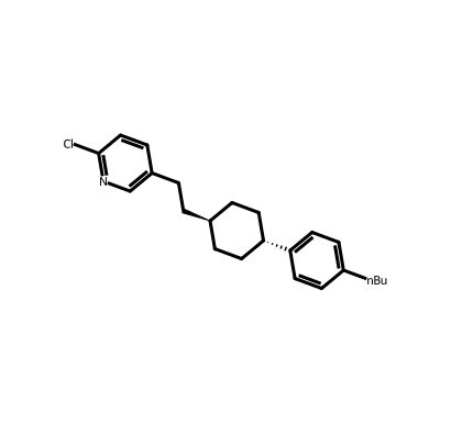 CCCCc1ccc([C@H]2CC[C@H](CCc3ccc(Cl)nc3)CC2)cc1